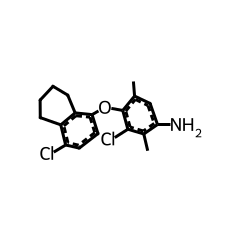 Cc1cc(N)c(C)c(Cl)c1Oc1ccc(Cl)c2c1CCCC2